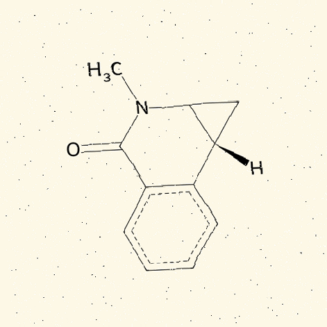 CN1C(=O)c2ccccc2[C@H]2CC21